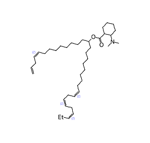 C=CC/C=C\CCCCCCCCC(CCCCCCCC/C=C\C/C=C\C/C=C\CC)OC(=O)C1CCCCC1N(C)C